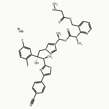 Br.CNCC(=O)OCc1cccnc1N(C)C(=O)O[C@H](C)[n+]1cnn(C[C@](O)(c2cc(F)ccc2F)[C@@H](C)c2nc(-c3ccc(C#N)cc3)cs2)c1.[Br-]